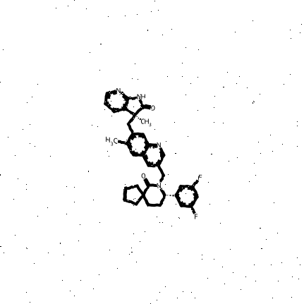 Cc1cc2cc(CN3C(=O)C4(CCCC4)CC[C@H]3c3cc(F)cc(F)c3)cnc2cc1C[C@]1(C)C(=O)Nc2ncccc21